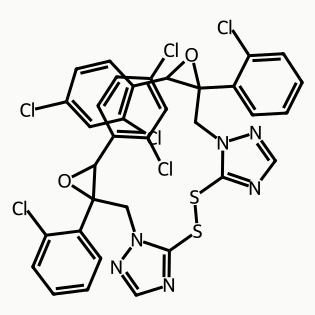 Clc1ccc(C2OC2(Cn2ncnc2SSc2ncnn2CC2(c3ccccc3Cl)OC2c2ccc(Cl)cc2Cl)c2ccccc2Cl)c(Cl)c1